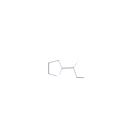 CCC(N)C1CCCN1